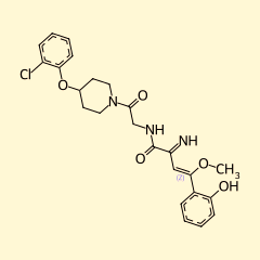 CO/C(=C\C(=N)C(=O)NCC(=O)N1CCC(Oc2ccccc2Cl)CC1)c1ccccc1O